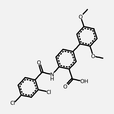 COc1ccc(OC)c(-c2ccc(NC(=O)c3ccc(Cl)cc3Cl)c(C(=O)O)c2)c1